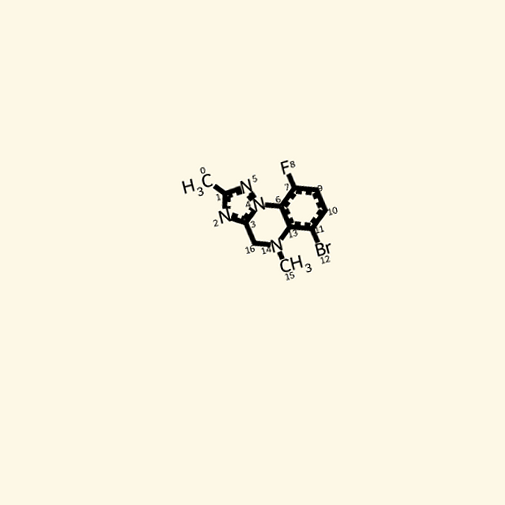 Cc1nc2n(n1)-c1c(F)ccc(Br)c1N(C)C2